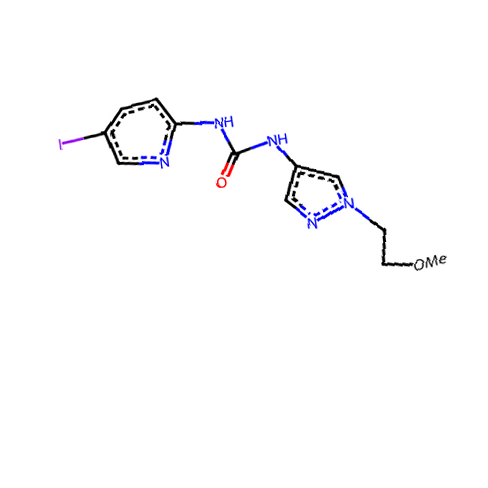 COCCn1cc(NC(=O)Nc2ccc(I)cn2)cn1